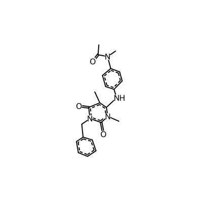 CC(=O)N(C)c1ccc(Nc2c(C)c(=O)n(Cc3ccccc3)c(=O)n2C)cc1